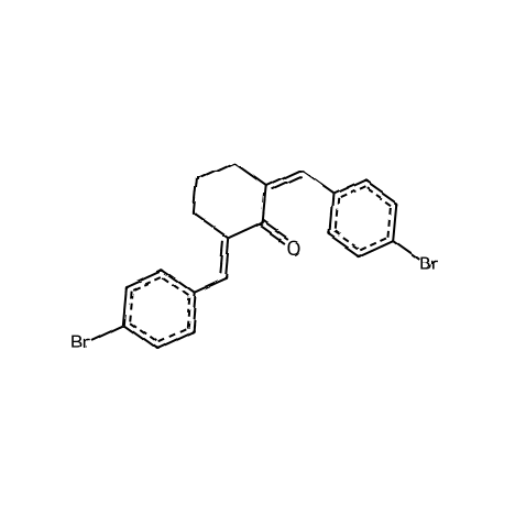 O=C1C(=Cc2ccc(Br)cc2)CCCC1=Cc1ccc(Br)cc1